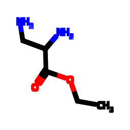 CCOC(=O)C(N)CN